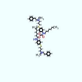 CCCCCCCN(C(=O)C(=O)OC(CCCCCC)Nc1ccc(SCCCN(C)CCc2ccccc2)cc1)c1ccc(SCCCN(C)CCc2ccccc2)cc1